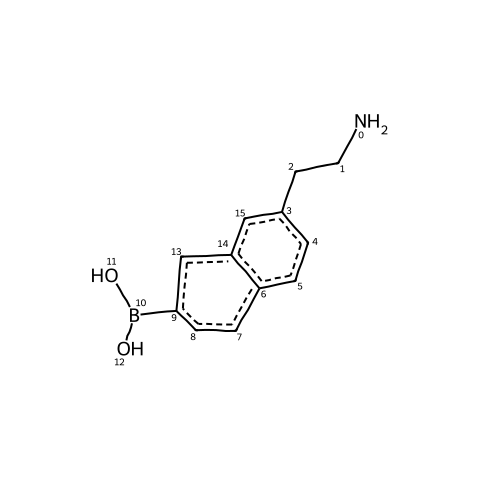 NCCc1ccc2ccc(B(O)O)cc2c1